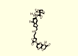 CN(C)[C@]1(C(=O)Nc2cc(F)c3c(c2)CC(CNCCC2CN(c4cnc5c(n4)NC(=O)CO5)C(=O)O2)C3)CCOC1